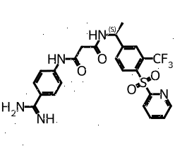 C[C@H](NC(=O)CC(=O)Nc1ccc(C(=N)N)cc1)c1ccc(S(=O)(=O)c2ccccn2)c(C(F)(F)F)c1